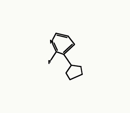 Fc1ncccc1C1CCCC1